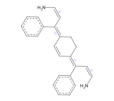 N/C=C\C(=C1C=C/C(=C(/C=C\N)c2ccccc2)CC\1)c1ccccc1